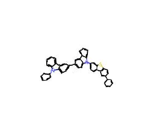 c1ccc(-c2ccc3sc4cc(-n5c6ccccc6c6cc(-c7ccc8c(c7)c7ccccc7n8-c7ccccc7)ccc65)ccc4c3c2)cc1